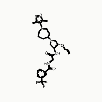 C=CCO[C@H]1CN(C2CCCN(c3c(C)noc3C)CC2)CC1NC(=O)CNC(=O)c1cccc(C(F)(F)F)c1